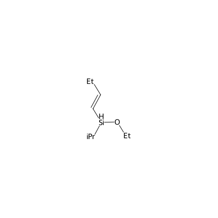 CCC=C[SiH](OCC)C(C)C